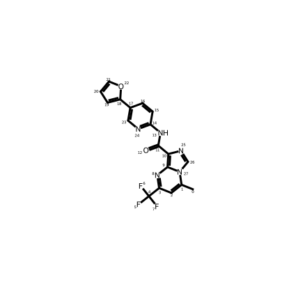 Cc1cc(C(F)(F)F)nc2c(C(=O)Nc3ccc(-c4ccco4)cn3)ncn12